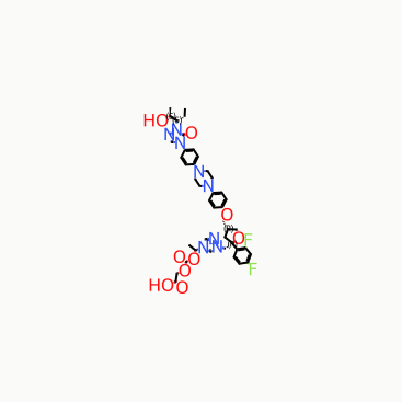 CC[C@@H]([C@H](C)O)n1ncn(-c2ccc(N3CCN(c4ccc(OC[C@@H]5CO[C@@](Cn6c[n+](C(C)OC(=O)OCC(=O)O)cn6)(c6ccc(F)cc6F)C5)cc4)CC3)cc2)c1=O